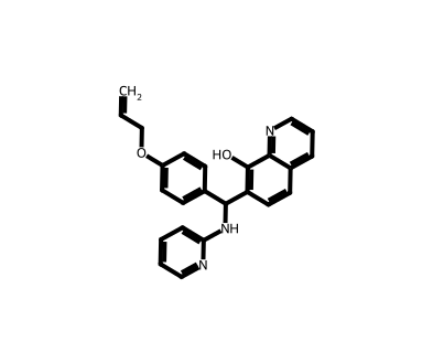 C=CCOc1ccc(C(Nc2ccccn2)c2ccc3cccnc3c2O)cc1